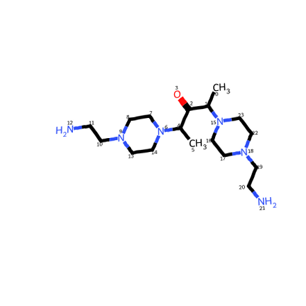 CC(C(=O)C(C)N1CCN(CCN)CC1)N1CCN(CCN)CC1